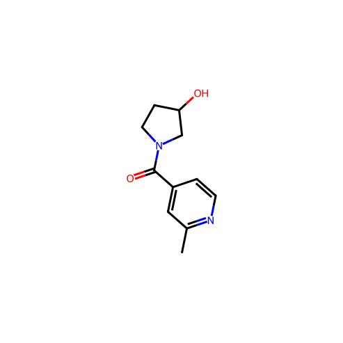 Cc1cc(C(=O)N2CCC(O)C2)ccn1